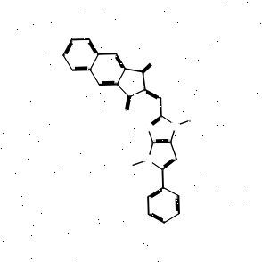 CCn1c(C=C2C(=O)c3cc4ccccc4cc3C2=O)nc2c1cc(-c1ccccc1)n2C